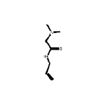 C=CCNC(=O)CN(C)C